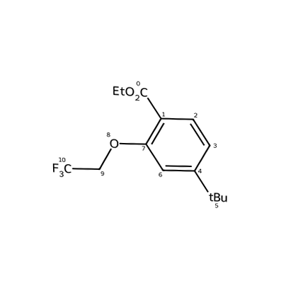 CCOC(=O)c1ccc(C(C)(C)C)cc1OCC(F)(F)F